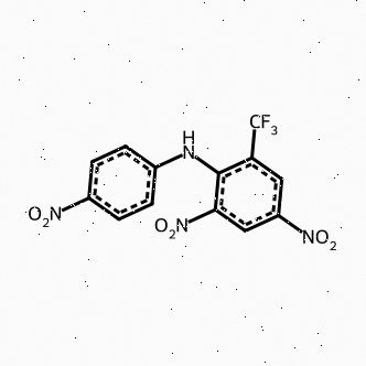 O=[N+]([O-])c1ccc(Nc2c([N+](=O)[O-])cc([N+](=O)[O-])cc2C(F)(F)F)cc1